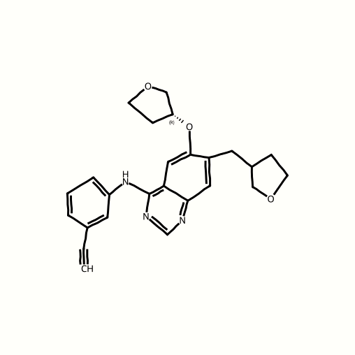 C#Cc1cccc(Nc2ncnc3cc(CC4CCOC4)c(O[C@@H]4CCOC4)cc23)c1